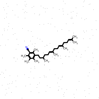 CC(C)=CCC/C(C)=C/CC/C(C)=C/CCC(C)CCc1c(C)c(C)c(C)c(C#N)c1C